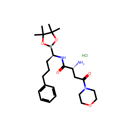 CC1(C)OB([C@H](CCCc2ccccc2)NC(=O)[C@H](N)CC(=O)N2CCOCC2)OC1(C)C.Cl